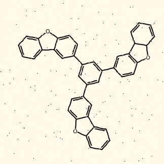 C1=CC2Oc3ccc(-c4cc(-c5ccc6oc7ccccc7c6c5)cc(-c5ccc6oc7ccccc7c6c5)c4)cc3C2C=C1